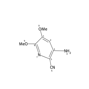 COc1cc(N)c(C#N)nc1OC